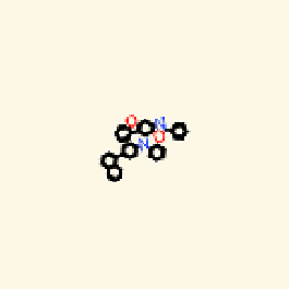 c1ccc(-c2nc3cc4oc5ccccc5c4c(N(c4ccccc4)c4ccc(-c5cccc6ccccc56)cc4)c3o2)cc1